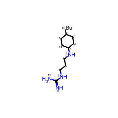 CC(C)(C)C1CCC(NCCCNC(=N)N)CC1